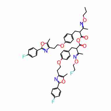 CCCON=C(C)C(Cc1ccc(OCCc2nc(-c3ccc(F)cc3)oc2C)cc1)C(=O)OC(=O)C(Cc1ccc(OCCc2nc(-c3ccc(F)cc3)oc2C)cc1)C(C)=NOCCF